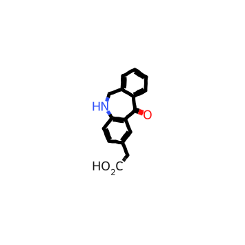 O=C(O)Cc1ccc2c(c1)C(=O)c1ccccc1CN2